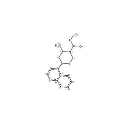 CC(C)(C)OC(=O)N1CCC(c2cccc3cnccc23)CC1N